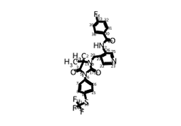 CC1(C)C(=O)N(c2ccc(SC(F)(F)F)cc2)C(=O)N1Cc1ccncc1NC(=O)c1ccc(F)cc1